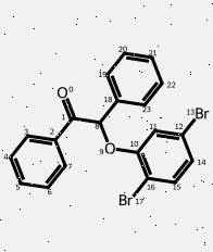 O=C(c1ccccc1)C(Oc1cc(Br)ccc1Br)c1ccccc1